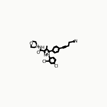 Cc1c(C(=O)NN2CCOCC2)nn(-c2ccc(Cl)cc2Cl)c1-c1ccc(C#CCCC#N)cc1